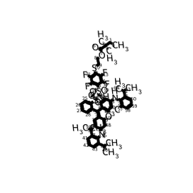 CCC(C)(C)C(=O)OCCSc1c(F)c(F)c(S(=O)(=O)NS(=O)(=O)c2ccccc2-c2c3cc/c(=N\c4c(C(C)C)cccc4C(C)C)cc-3oc3cc(Nc4c(C)cccc4C(C)C)ccc23)c(F)c1F